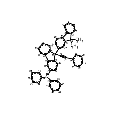 CC1(C)c2ccccc2-c2ccc(C3(C#Cc4ccccc4)c4ccccc4-c4cc(N(c5ccccc5)c5ccccc5)ccc43)cc21